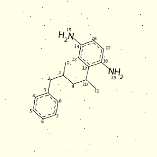 CC(Cc1ccccc1)CC(C)c1cc(N)ccc1N